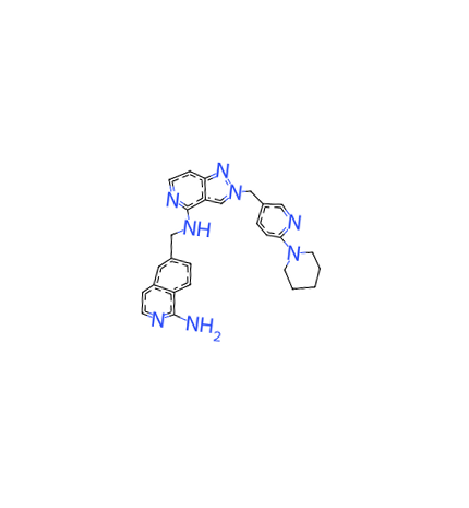 Nc1nccc2cc(CNc3nccc4nn(Cc5ccc(N6CCCCC6)nc5)cc34)ccc12